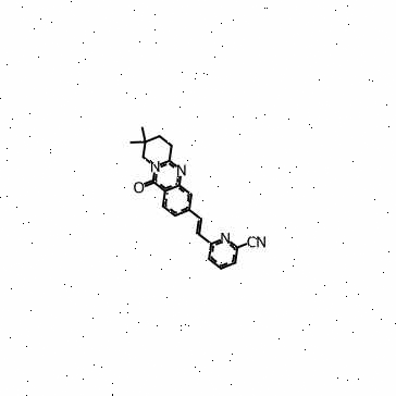 CC1(C)CCc2nc3cc(C=Cc4cccc(C#N)n4)ccc3c(=O)n2C1